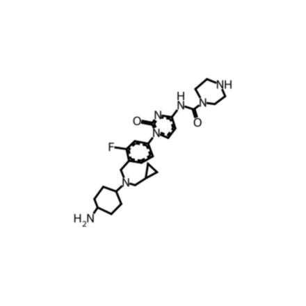 NC1CCC(N(Cc2ccc(-n3ccc(NC(=O)N4CCNCC4)nc3=O)cc2F)CC2CC2)CC1